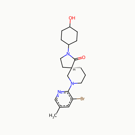 Cc1cnc(N2CCC[C@@]3(CCN(C4CCC(O)CC4)C3=O)C2)c(Br)c1